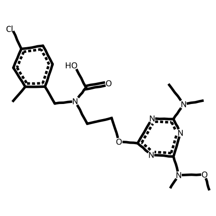 CON(C)c1nc(OCCN(Cc2ccc(Cl)cc2C)C(=O)O)nc(N(C)C)n1